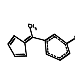 CC(=C1C=CC=C1)c1cccc(F)c1